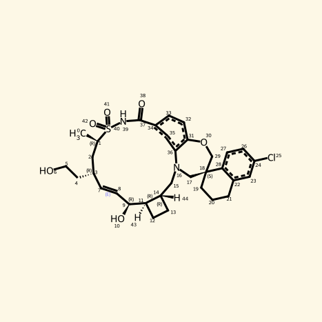 C[C@@H]1C[C@@H](CCO)/C=C/[C@H](O)[C@@H]2CC[C@H]2CN2C[C@@]3(CCCc4cc(Cl)ccc43)COc3ccc(cc32)C(=O)NS1(=O)=O